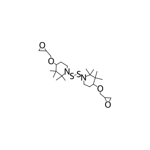 CC1(C)C(OCC2CO2)CCN(SSN2CCC(OCC3CO3)C(C)(C)C2(C)C)C1(C)C